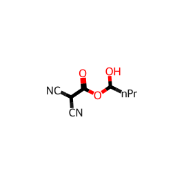 CCCC(O)OC(=O)C(C#N)C#N